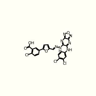 O=C(O)c1cc(-c2ccc(C=NNc3nc4nonc4nc3Nc3ccc(Cl)c(Cl)c3)o2)ccc1Cl